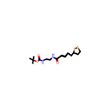 CC(C)(C)OC(=O)NCCNC(=O)CCCCC1CCSS1